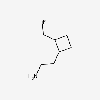 CC(C)CC1CCC1CCN